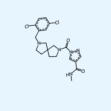 CNC(=O)c1cnn(C(=O)N2CCC3(CCN(Cc4cc(Cl)ccc4Cl)C3)C2)c1